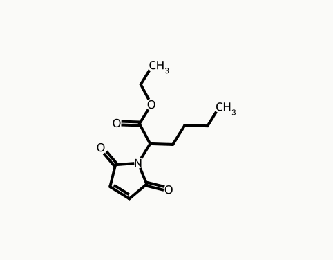 CCCCC(C(=O)OCC)N1C(=O)C=CC1=O